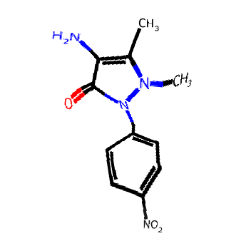 Cc1c(N)c(=O)n(-c2ccc([N+](=O)[O-])cc2)n1C